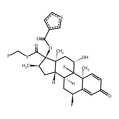 C[C@@H]1C[C@H]2[C@@H]3C[C@H](F)C4=CC(=O)C=C[C@]4(C)C3(F)[C@@H](O)C[C@]2(C)[C@@]1(OC(=O)c1ccsc1)C(=O)SCF